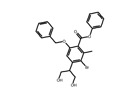 Cc1c(Br)c(C(CO)CO)cc(OCc2ccccc2)c1C(=O)Oc1ccccc1